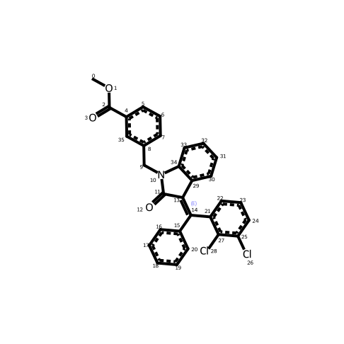 COC(=O)c1cccc(CN2C(=O)/C(=C(\c3ccccc3)c3cccc(Cl)c3Cl)c3ccccc32)c1